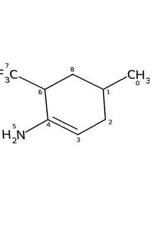 CC1CC=C(N)C(C(F)(F)F)C1